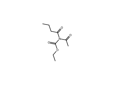 CCCC(=O)N(C(C)=O)C(=O)OCC